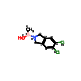 CB(O)N1Cc2cc(Cl)c(Cl)cc2C1